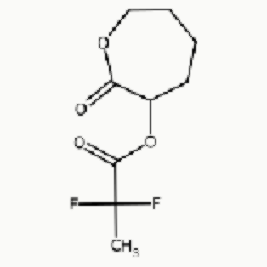 CC(F)(F)C(=O)OC1CCCCOC1=O